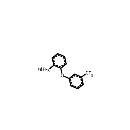 [CH2]CCCCCc1ccccc1Oc1cccc(C(F)(F)F)c1